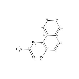 NC(=O)Nc1c(S)ccc2ccccc12